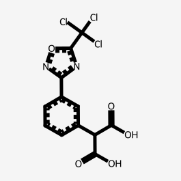 O=C(O)C(C(=O)O)c1cccc(-c2noc(C(Cl)(Cl)Cl)n2)c1